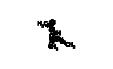 C=CCON=C1C[C@@H](C(=O)Nc2ccc3c(c2)c2ccccc2n3CC)N(C(=O)COC)C1